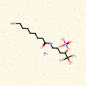 CCCCCCCCCCCCCCCCCC(=O)NCCCC(OP(=O)(O)O)C(C)(C)O.N